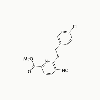 [C-]#[N+]c1ccc(C(=O)OC)nc1SCc1ccc(Cl)cc1